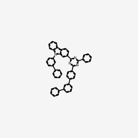 c1ccc(-c2cccc(-c3ccc(-c4nc(-c5ccccc5)nc(-c5ccc6c7ccccc7n(-c7cccc(-c8ccccc8)c7)c6c5)n4)cc3)c2)cc1